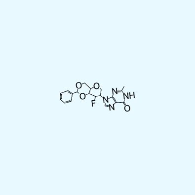 Cc1nc2c(ncn2C2COC3COC(c4ccccc4)OC3C2F)c(=O)[nH]1